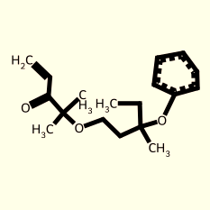 C=CC(=O)C(C)(C)OCCC(C)(CC)Oc1ccccc1